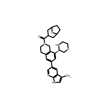 Cc1c[nH]c2ncc(-c3cc4c(c([C@@H]5COCCN5)c3)CN(C(=O)C3CC5CCC(C3)O5)CC4)cc12